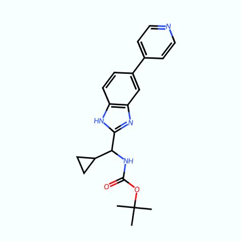 CC(C)(C)OC(=O)NC(c1nc2cc(-c3ccncc3)ccc2[nH]1)C1CC1